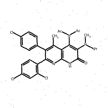 CC(=O)N(C(C)=O)c1c(N(C)C(C)C)c(=O)[nH]c2nc(-c3ccc(Cl)cc3Cl)c(-c3ccc(Cl)cc3)c(C)c12